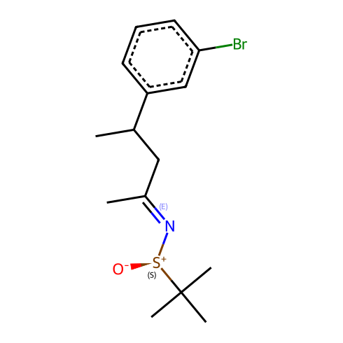 C/C(CC(C)c1cccc(Br)c1)=N\[S@+]([O-])C(C)(C)C